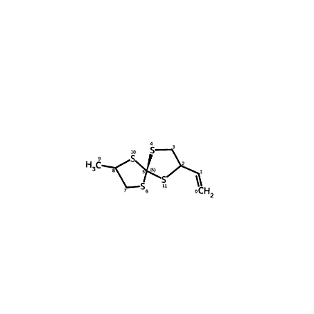 C=CC1CS[C@]2(SCC(C)S2)S1